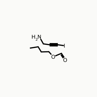 CCCCOC=O.NCC#CI